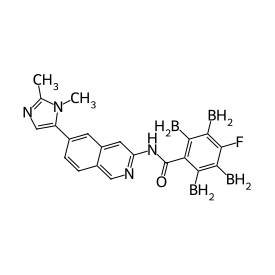 Bc1c(B)c(C(=O)Nc2cc3cc(-c4cnc(C)n4C)ccc3cn2)c(B)c(B)c1F